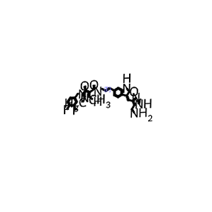 Cc1c(C(=O)NC/C=C/c2ccc3c(c2)NC(=O)C3=Cc2nc[nH]c2CN)c(=O)n(Cc2ccc(F)c(F)c2)n1C